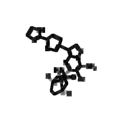 CC(=O)c1c([C@@H]2C[C@H]3CC[C@@H](C2)N3C(N)=O)nc2c(-c3ccc(-c4ncc[nH]4)nc3)cnn2c1N